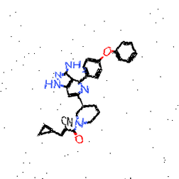 N#C/C(=C\C1CC1)C(=O)N1CCC[C@H](c2cc3[nH]nc(N)c3c(-c3ccc(Oc4ccccc4)cc3)n2)C1